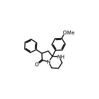 COc1ccc(C23CC(c4ccccc4)C(=O)N2CCCN3)cc1